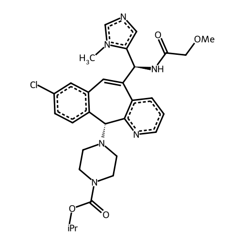 COCC(=O)N[C@@H](C1=Cc2cc(Cl)ccc2[C@@H](N2CCN(C(=O)OC(C)C)CC2)c2ncccc21)c1cncn1C